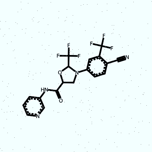 N#Cc1ccc(N2CC(C(=O)Nc3cccnc3)OC2C(F)(F)F)cc1C(F)(F)F